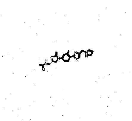 C=C1O[C@@H](CNC(C)=O)CN1c1ccc(-c2nc(Cn3cccn3)cs2)c(C)c1